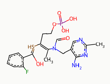 CC(=C(CCOP(=O)(O)O)[SH]=C(O)c1ccccc1F)N(C=O)Cc1cnc(C)nc1N